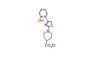 CCOC(=O)C1CCN(c2nc(-c3ccccc3O)cs2)CC1